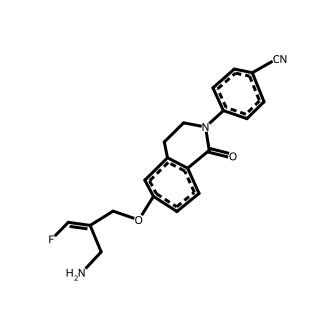 N#Cc1ccc(N2CCc3cc(OC/C(=C/F)CN)ccc3C2=O)cc1